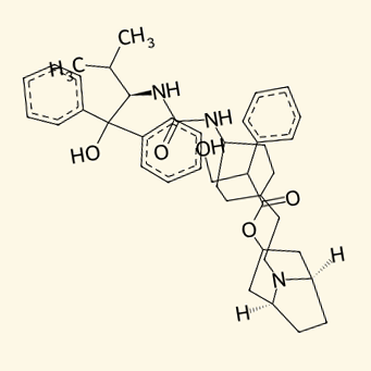 CC(C)[C@@H](NC(=O)NC1CCC(CCN2[C@@H]3CC[C@H]2CC(OC(=O)C(CO)c2ccccc2)C3)CC1)C(O)(c1ccccc1)c1ccccc1